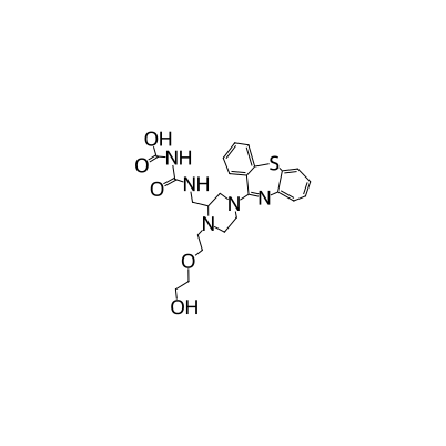 O=C(O)NC(=O)NCC1CN(C2=Nc3ccccc3Sc3ccccc32)CCN1CCOCCO